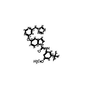 COc1cc(NC(=O)n2ccc3cc(Oc4cc(Cn5cnnn5)ncn4)ccc32)cc(C(F)(F)F)c1